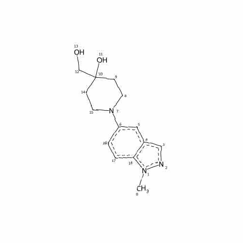 Cn1ncc2cc(N3CCC(O)(CO)CC3)ccc21